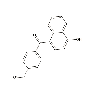 O=Cc1ccc(C(=O)c2ccc(O)c3ccccc23)cc1